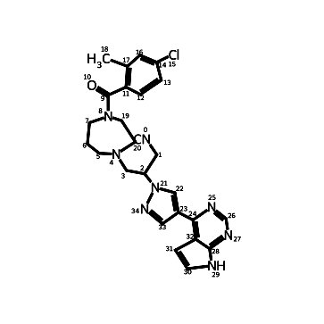 [C-]#[N+]CC(CN1CCCN(C(=O)c2ccc(Cl)cc2C)CC1)n1cc(-c2ncnc3[nH]ccc23)cn1